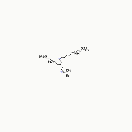 CCC(O)/C=C\CC(C/C=C\CCCCNCCSC)CCNCCSC